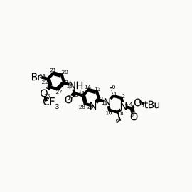 C[C@@H]1CN(C(=O)OC(C)(C)C)[C@@H](C)CN1c1ccc(C(=O)Nc2ccc(Br)c(OC(F)(F)F)c2)cn1